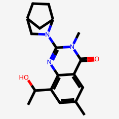 Cc1cc(C(C)O)c2nc(N3CC4CCC3C4)n(C)c(=O)c2c1